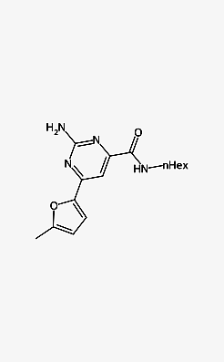 CCCCCCNC(=O)c1cc(-c2ccc(C)o2)nc(N)n1